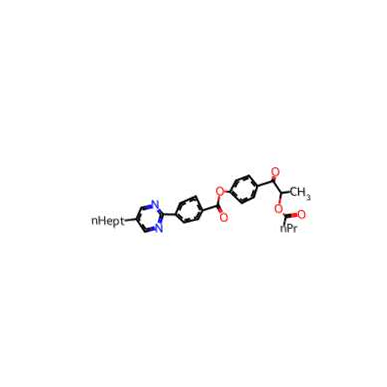 CCCCCCCc1cnc(-c2ccc(C(=O)Oc3ccc(C(=O)C(C)OC(=O)CCC)cc3)cc2)nc1